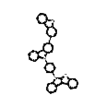 c1ccc2c(c1)oc1ccc(-c3ccc4c(c3)c3ccccc3n4-c3ccc(-n4c5ccccc5c5c6ccccc6oc54)cc3)cc12